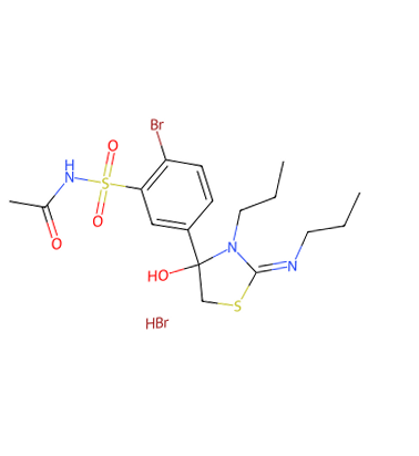 Br.CCCN=C1SCC(O)(c2ccc(Br)c(S(=O)(=O)NC(C)=O)c2)N1CCC